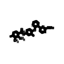 CNc1nccc(-c2cccnc2Oc2ccc(NC(=O)c3ccc(C)c(C(F)(F)F)c3N)cc2C)n1